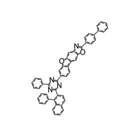 c1ccc(-c2ccc(-c3nc4cc5oc6cc(-c7nc(-c8ccccc8)nc(-c8ccc9ccccc9c8-c8ccccc8)n7)ccc6c5cc4o3)cc2)cc1